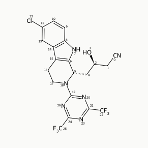 N#CC[C@H](O)C[C@H]1c2[nH]c3ccc(Cl)cc3c2CCN1c1nc(C(F)(F)F)nc(C(F)(F)F)n1